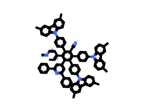 C=N/C=C\C(=C/C)c1c(-c2ccc(-n3c4ccc(C)cc4c4cc(C)ccc43)cc2)c(C#N)c(-c2ccc(-n3c4ccc(C)cc4c4cc(C)ccc43)cc2)c(-c2ccc(-n3c4ccc(C)cc4c4cc(C)ccc43)cc2)c1-c1cc(-c2ccccc2)nc(-c2ccccc2)c1